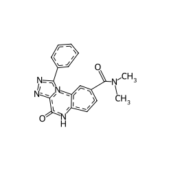 CN(C)C(=O)c1ccc2[nH]c(=O)c3nnc(-c4ccccc4)n3c2c1